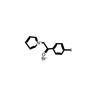 O=C(C[n+]1ccccc1)c1ccc(I)cc1.[Br-]